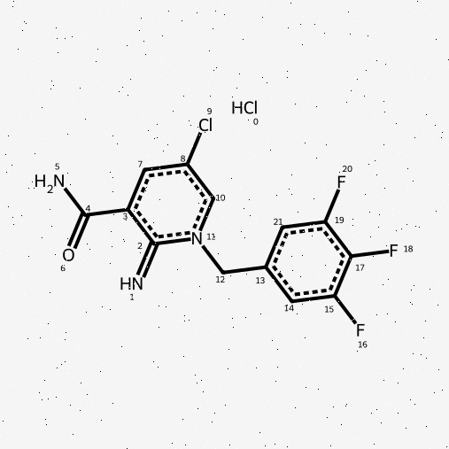 Cl.N=c1c(C(N)=O)cc(Cl)cn1Cc1cc(F)c(F)c(F)c1